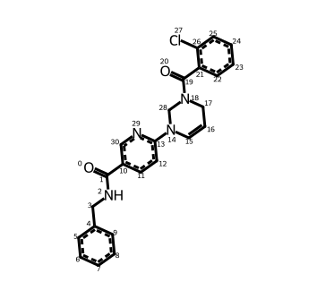 O=C(NCc1ccccc1)c1ccc(N2C=CCN(C(=O)c3ccccc3Cl)C2)nc1